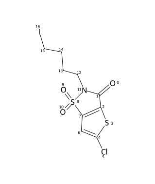 O=C1c2sc(Cl)cc2S(=O)(=O)N1CCCCI